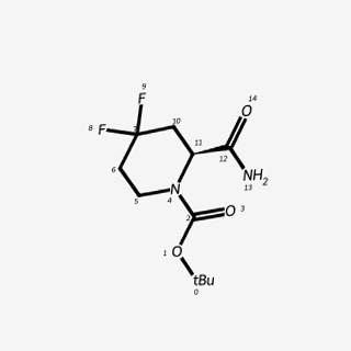 CC(C)(C)OC(=O)N1CCC(F)(F)C[C@H]1C(N)=O